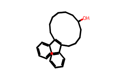 OC1CCCCCCC(c2ccccc2)=C(c2ccccc2)CCCC1